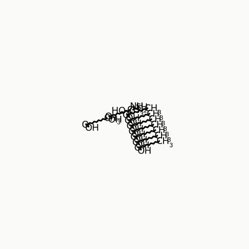 CCCCCCCCCC(=O)O.CCCCCCCCCC(=O)O.CCCCCCCCCC(=O)O.CCCCCCCCCC(=O)O.CCCCCCCCCC(=O)O.CCCCCCCCCC(=O)O.CCCCCCCCCC(=O)O.CCCCCCCCCC(=O)O.CCCCCCCCCC(=O)O.NC(CS)C(=O)O